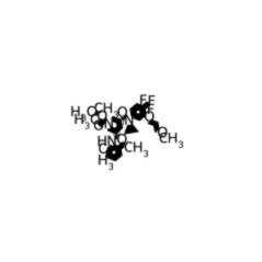 CCc1cccc(C)c1NC(=O)[C@H]1C[C@@H](C(=O)N(c2ccc(C(F)(F)F)c(OCCCOC)c2)C2CC2)CN(C(=O)OC(C)(C)C)C1